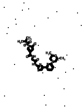 CC(C)S(=O)(=O)n1cc(C(=O)NCC(=O)Nc2nc(-c3cccc(N4C[C@@H](C)O[C@@H](C)C4)n3)cs2)cc1Cl